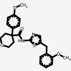 COc1ccc(C2(C(=O)Nc3ncc(Cc4ccccc4OC)s3)CCOCC2)cc1